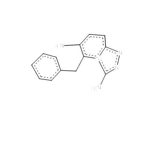 Nc1ccc2nnc(N)n2c1Cc1ccccc1